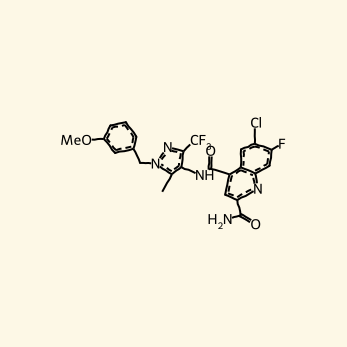 COc1cccc(Cn2nc(C(F)(F)F)c(NC(=O)c3cc(C(N)=O)nc4cc(F)c(Cl)cc34)c2C)c1